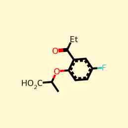 CCC(=O)c1cc(F)ccc1OC(C)C(=O)O